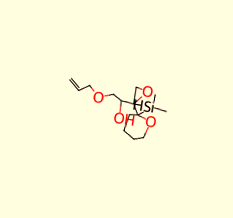 C=CCOCC(O)C1(C2([SiH](C)C)CCCCO2)CO1